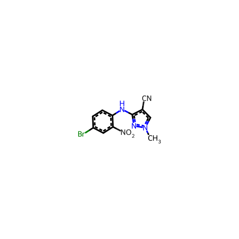 Cn1cc(C#N)c(Nc2ccc(Br)cc2[N+](=O)[O-])n1